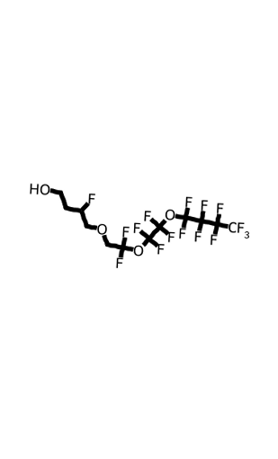 OCCC(F)COCC(F)(F)OC(F)(F)C(F)(F)OC(F)(F)C(F)(F)C(F)(F)C(F)(F)F